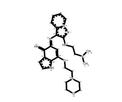 CN(C)CCNc1nn2ccccc2c1/N=C1\C=C(OCCN2CCOCC2)c2[nH]ccc2C1=N